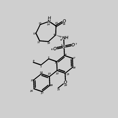 CCCc1c(S(=O)(=O)N[C@@H]2CCCCNC2=O)ccc(OC)c1-c1ccccc1